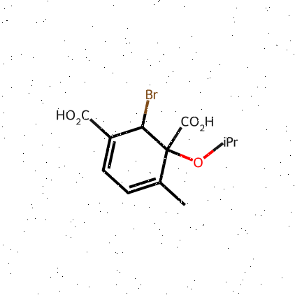 CC1=CC=C(C(=O)O)C(Br)C1(OC(C)C)C(=O)O